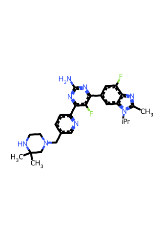 Cc1nc2c(F)cc(-c3nc(N)nc(-c4ccc(CN5CCNC(C)(C)C5)cn4)c3F)cc2n1C(C)C